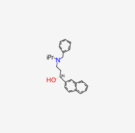 CC(C)N(CC[C@@H](O)c1ccc2ccccc2c1)Cc1ccccc1